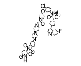 CC(C(=O)Nc1ccc(Cl)c(OC2CCN(C(=O)CN3CCC(N4CCN(c5ccc6c(c5)C(=O)N(C5CCC(=O)NC5=O)C6=O)CC4)CC3)CC2)c1)C1CCC(c2ccnc3ccc(F)cc23)CC1